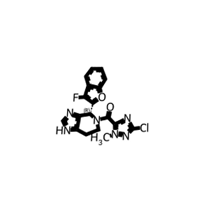 Cn1nc(Cl)nc1C(=O)N1CCc2[nH]cnc2[C@@H]1c1oc2ccccc2c1F